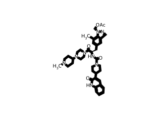 CC(=O)OCn1ncc2cc(C[C@@H](NC(=O)N3CCC(c4cc5ccccc5[nH]c4=O)CC3)C(=O)N3CCN(C4CCN(C)CC4)CC3)cc(C)c21